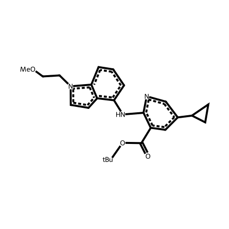 COCCn1ccc2c(Nc3ncc(C4CC4)cc3C(=O)OC(C)(C)C)cccc21